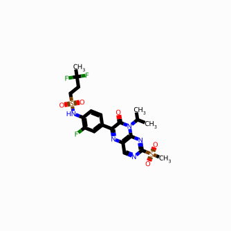 CC(C)n1c(=O)c(-c2ccc(NS(=O)(=O)CCC(C)(F)F)c(F)c2)nc2cnc(S(C)(=O)=O)nc21